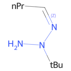 CCC/C=N\N(N)C(C)(C)C